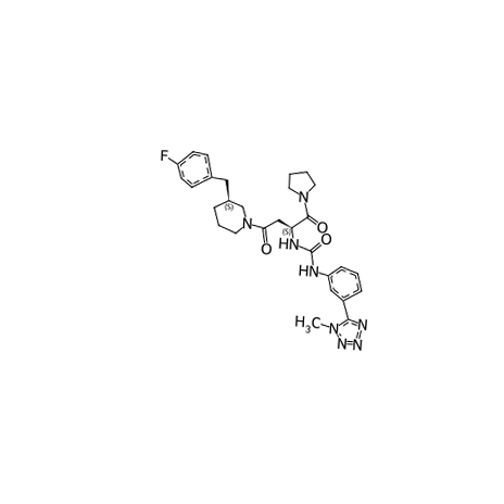 Cn1nnnc1-c1cccc(NC(=O)N[C@@H](CC(=O)N2CCC[C@@H](Cc3ccc(F)cc3)C2)C(=O)N2CCCC2)c1